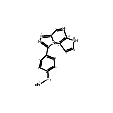 CCCOc1ccc(-c2nnc3cnc4[nH]ccc4n23)cc1